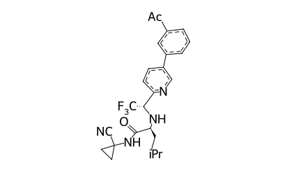 CC(=O)c1cccc(-c2ccc([C@H](N[C@@H](CC(C)C)C(=O)NC3(C#N)CC3)C(F)(F)F)nc2)c1